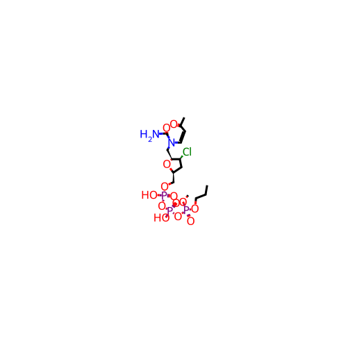 CCCOP(=O)(OC)OP(=O)(O)OP(=O)(O)OC[C@@H]1C[C@H](Cl)[C@H](CN(/C=C\C(C)=O)C(N)=O)O1